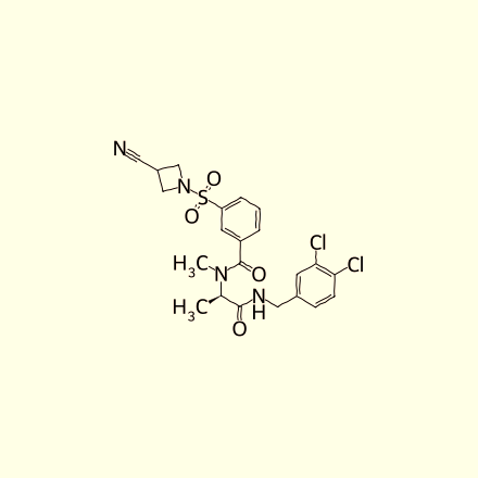 C[C@H](C(=O)NCc1ccc(Cl)c(Cl)c1)N(C)C(=O)c1cccc(S(=O)(=O)N2CC(C#N)C2)c1